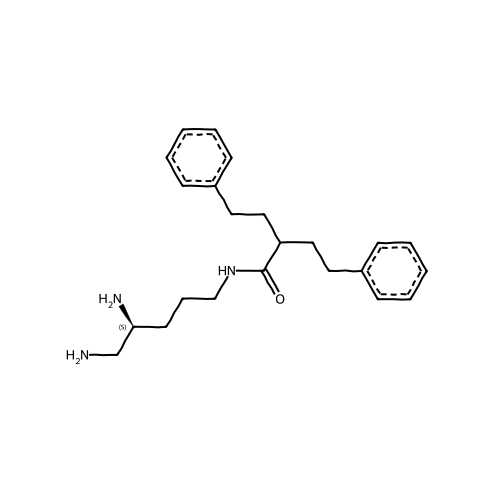 NC[C@@H](N)CCCNC(=O)C(CCc1ccccc1)CCc1ccccc1